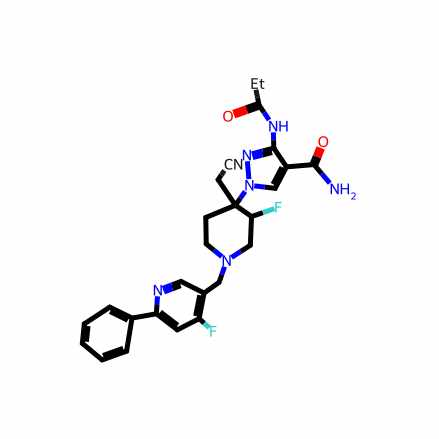 CCC(=O)Nc1nn(C2(CC#N)CCN(Cc3cnc(-c4ccccc4)cc3F)CC2F)cc1C(N)=O